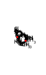 C[C@@H]1[C@@H](C)C/C=C/[C@](O)(C(C)(C)C#N)[C@@H]2CC[C@H]2CN2CCCCc3cc(Cl)ccc3COc3ccc(cc32)C(=O)NS1(=O)=O